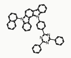 c1ccc(-c2nc(-c3ccccc3)nc(-c3ccc(-n4c5ccccc5c5ccc6c(c7ccccc7n6-c6cccc7ccccc67)c54)cc3)n2)cc1